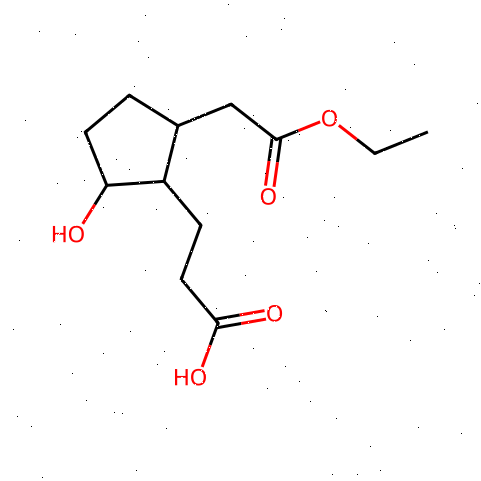 CCOC(=O)CC1CCC(O)C1CCC(=O)O